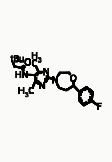 Cc1nc(N2CCOC(c3ccc(F)cc3)CC2)nc(C)c1NC(=O)CC(C)(C)C